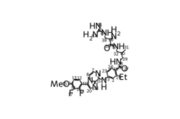 CCc1cc(Nc2nccn3c(-c4ccc(OC)c(F)c4F)cnc23)ccc1C(=O)NCC(C)CNC(=O)C(N)CNC(=N)N